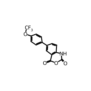 O=c1[nH]c2ccc(-c3ccc(OC(F)(F)F)cc3)cc2c(=O)o1